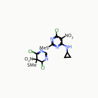 CSC1([N+](=O)[O-])C(Cl)=NC=NC1Cl.CSc1nc(Cl)c([N+](=O)[O-])c(NC2CC2)n1